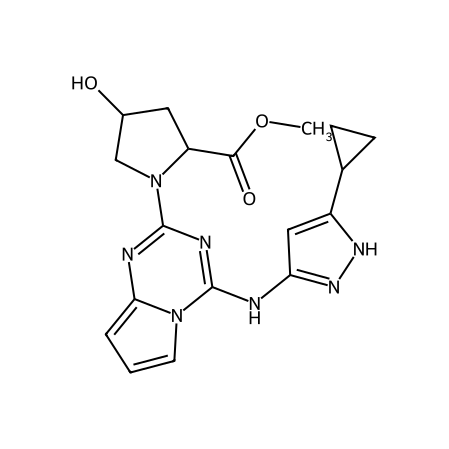 COC(=O)C1CC(O)CN1c1nc(Nc2cc(C3CC3)[nH]n2)n2cccc2n1